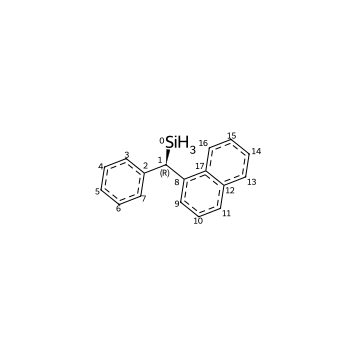 [SiH3][C@H](c1ccccc1)c1cccc2ccccc12